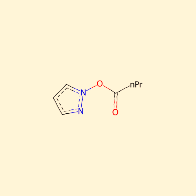 CCCC(=O)On1cccn1